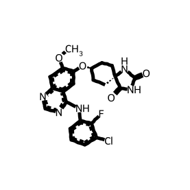 COc1cc2ncnc(Nc3cccc(Cl)c3F)c2cc1O[C@H]1CC[C@]2(CC1)NC(=O)NC2=O